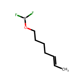 C/C=C/CCCCOB(F)F